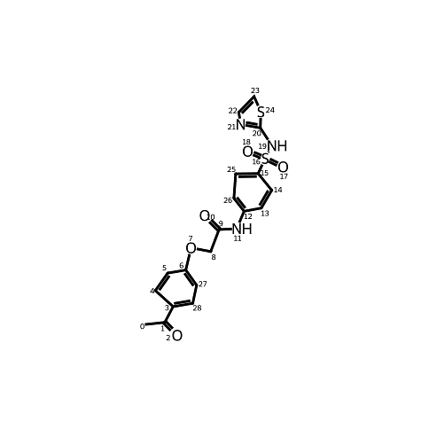 CC(=O)c1ccc(OCC(=O)Nc2ccc(S(=O)(=O)Nc3nccs3)cc2)cc1